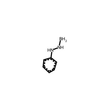 BNNc1ccccc1